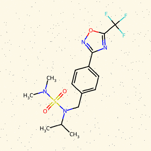 CC(C)N(Cc1ccc(-c2noc(C(F)(F)F)n2)cc1)S(=O)(=O)N(C)C